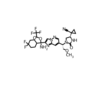 COC[C@H](c1cnn2cc([C@@](N)(OC(=O)C(F)(F)F)C3CCC(F)(F)CC3)nc2c1)N1C[C@@H](C2(C#N)CC2)NC1=O